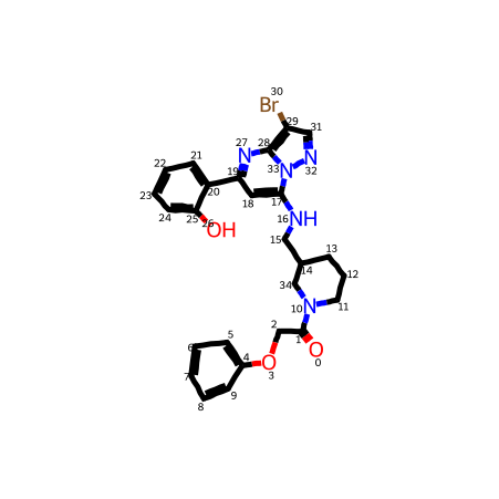 O=C(COc1ccccc1)N1CCCC(CNc2cc(-c3ccccc3O)nc3c(Br)cnn23)C1